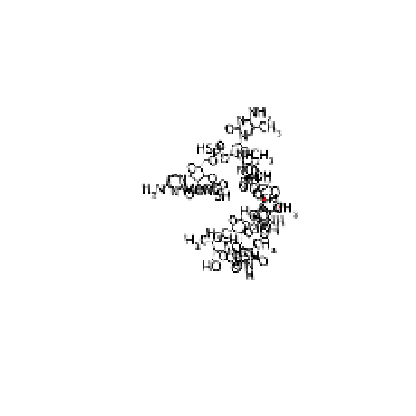 CO[C@H]1C(OP(=O)(S)OC)[C@@H](COP(=O)(S)OC2C[C@H](n3cc(C)c(N)nc3=O)O[C@@H]2COP(=O)(O)OC2[C@@H]3O[C@@H](C)[C@]2(COP(=O)(O)OC2[C@@H]4O[C@@H](C)[C@]2(COP(=O)(S)OC2[C@@H]5O[C@@H](C)[C@]2(CO)O[C@H]5n2cc(C)c(=O)[nH]c2=O)O[C@H]4n2cc(C)c(=O)[nH]c2=O)O[C@H]3n2cc(C)c(N)nc2=O)O[C@H]1n1ccc(N)nc1=O